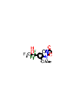 COc1cc(C(F)(F)C(O)(F)C(F)(F)F)cc(OC)c1N(C)C1=NC(=O)CO1